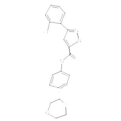 O=C(Nc1ccc([C@H]2CNCCO2)cc1)c1cc(-c2ccccc2Cl)n[nH]1